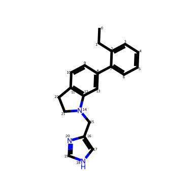 CCc1ccccc1-c1ccc2c(c1)N(Cc1c[nH]cn1)CC2